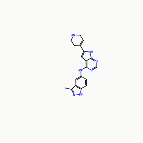 Ic1n[nH]c2ccc(Nc3ncnc4[nH]c(C5=CCNCC5)cc34)cc12